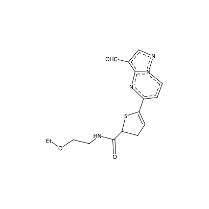 CCOCCNC(=O)C1CC=C(c2ccn3ncc(C=O)c3n2)S1